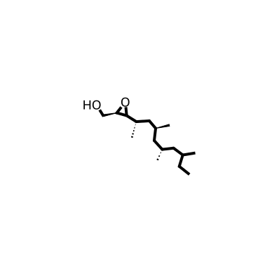 CCC(C)C[C@H](C)C[C@H](C)C[C@H](C)C1O[C@@H]1CO